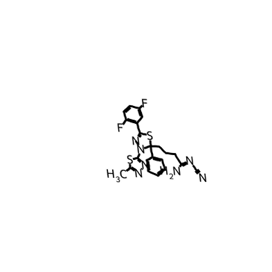 Cc1nnc(N2N=C(c3cc(F)ccc3F)SC2(CCC/C(N)=N/C#N)c2ccccc2)s1